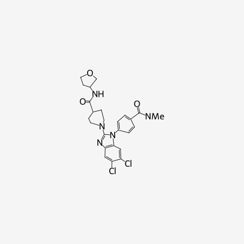 CNC(=O)c1ccc(-n2c(N3CCC(C(=O)NC4CCOC4)CC3)nc3cc(Cl)c(Cl)cc32)cc1